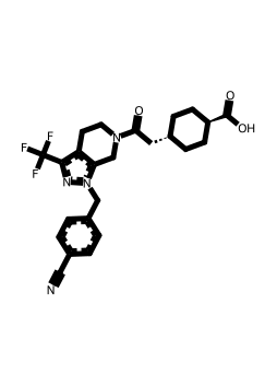 N#Cc1ccc(Cn2nc(C(F)(F)F)c3c2CN(C(=O)C[C@H]2CC[C@H](C(=O)O)CC2)CC3)cc1